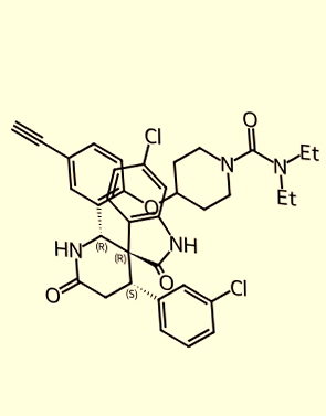 C#Cc1ccc(OC2CCN(C(=O)N(CC)CC)CC2)c([C@H]2NC(=O)C[C@@H](c3cccc(Cl)c3)[C@]23C(=O)Nc2cc(Cl)ccc23)c1